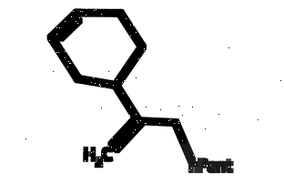 C=C(CCCCCC)C1CC=CCC1